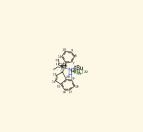 C[SiH](C)[Ti]([NH]C(C)(C)C)([c]1ccccc1)[CH]1C=Cc2ccccc21.Cl.Cl